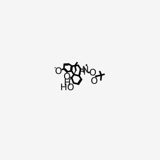 CCC[C@]12c3c4ccc(OC)c3O[C@H]1[C@@H](O)C=C[C@H]2[C@H](N(C)COC(=O)C(C)(C)C)C4